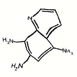 Nc1cc(N)c2cccnc2c1N